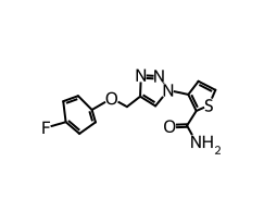 NC(=O)c1sccc1-n1cc(COc2ccc(F)cc2)nn1